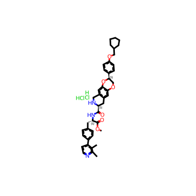 COC(=O)[C@H](Cc1ccc(-c2ccnc(C)c2C)cc1)NC(=O)[C@@H]1Cc2cc3c(cc2CN1)O[C@@H](c1ccc(OCC2CCCCC2)cc1)CO3.Cl.Cl